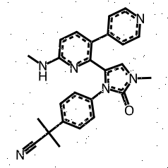 CNc1ccc(-c2ccncc2)c(-c2cn(C)c(=O)n2-c2ccc(C(C)(C)C#N)cc2)n1